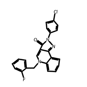 O=c1c2cn(Cc3ccccc3F)c3ccccc3c-2nn1-c1ccc(Cl)cc1